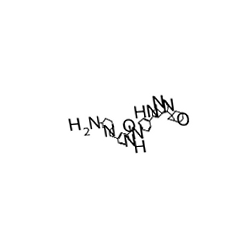 NC1CCCN(Cc2ccnc(C(=O)Nc3ccc(-c4cc5c(C67CCOCC6C7)ncnc5[nH]4)cc3)c2)C1